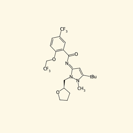 Cn1c(C(C)(C)C)c/c(=N\C(=O)c2cc(C(F)(F)F)ccc2OCC(F)(F)F)n1C[C@H]1CCCO1